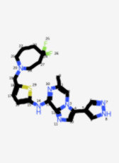 Cc1cn2c(-c3cn[nH]c3)cnc2c(Nc2ccc(CN3CCCC(F)(F)CC3)s2)n1